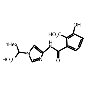 CCCCCCC(C(=O)O)n1cnc(NC(=O)c2cccc(O)c2C(=O)O)c1